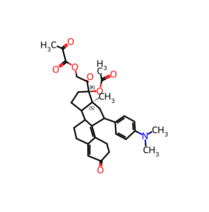 CC(=O)O[C@]1(C(=O)COC(=O)C(C)=O)CCC2C3CCC4=CC(=O)CCC4=C3C(c3ccc(N(C)C)cc3)C[C@@]21C